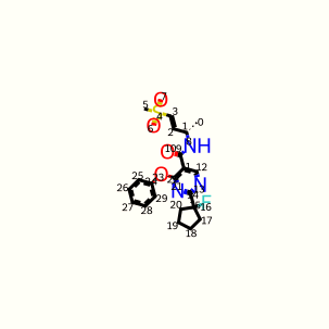 C[C@@H](/C=C/S(C)(=O)=O)NC(=O)c1cnc(C2(F)CCCC2)nc1Oc1ccccc1